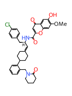 COc1cc2oc(C(=O)N[C@@H](C=C3CCC(c4ccccc4CN4CCCCC4=O)CC3)Cc3ccc(Cl)cc3)cc(=O)c2cc1O